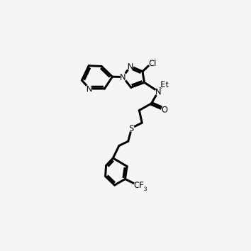 CCN(C(=O)CCSCCc1cccc(C(F)(F)F)c1)c1cn(-c2cccnc2)nc1Cl